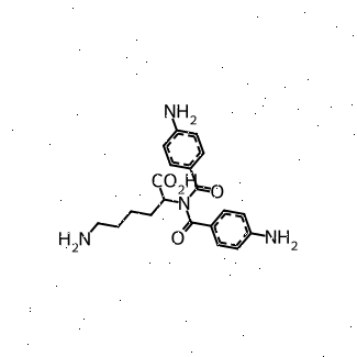 NCCCCC(C(=O)O)N(C(=O)c1ccc(N)cc1)C(=O)c1ccc(N)cc1